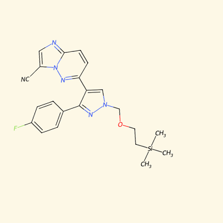 C[Si](C)(C)CCOCn1cc(-c2ccc3ncc(C#N)n3n2)c(-c2ccc(F)cc2)n1